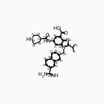 CC(C)c1nc2c(C(=O)O)cc(NC(=O)C3CCNCC3)cc2n1Cc1ccc2ccc(C(=N)N)cc2c1